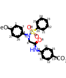 COc1ccc(N(CC(=O)Nc2ccc(C(=O)O)cc2)S(=O)(=O)c2ccccc2)cc1